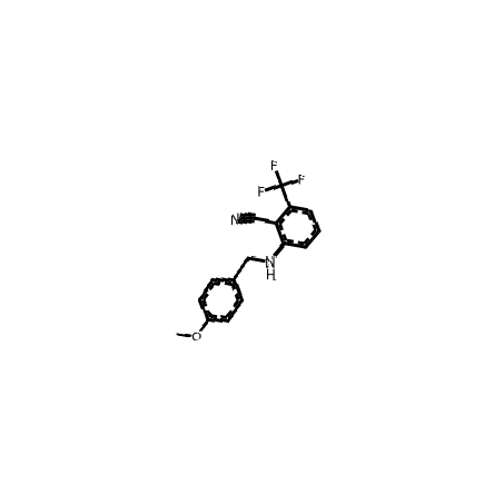 COc1ccc(CNc2cccc(C(F)(F)F)c2C#N)cc1